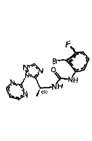 C[C@H](NC(=O)Nc1cccc(F)c1Br)c1ncnn1-c1ncccn1